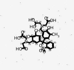 Cc1cc(C2(c3cc(C)c(O)c(CN(CC(=O)O)CC(O)O)c3)OS(=O)(=O)c3ccccc32)cc(CN(CC(=O)O)CC(=O)O)c1O